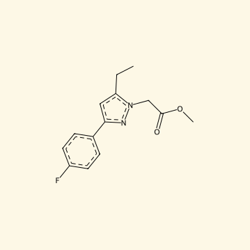 CCc1cc(-c2ccc(F)cc2)nn1CC(=O)OC